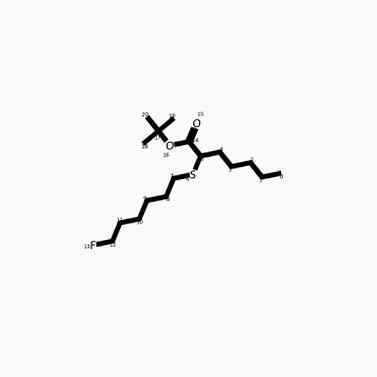 CCCCCC(SCCCCCCF)C(=O)OC(C)(C)C